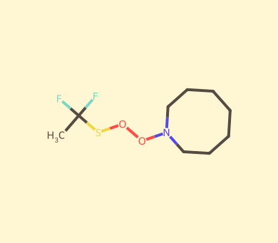 CC(F)(F)SOON1CCCCCCC1